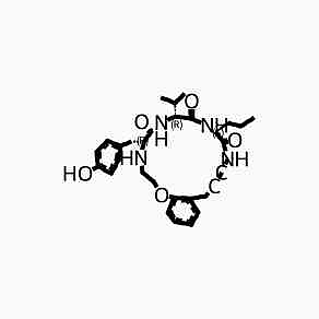 CCC[C@@H]1NC(=O)[C@@H](C(C)C)NC(=O)[C@@H](Cc2ccc(O)cc2)NCCOc2ccccc2CCCNC1=O